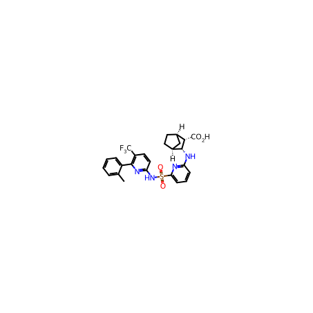 Cc1ccccc1-c1nc(NS(=O)(=O)c2cccc(N[C@@H]3[C@H]4CC[C@H](C4)[C@@H]3C(=O)O)n2)ccc1C(F)(F)F